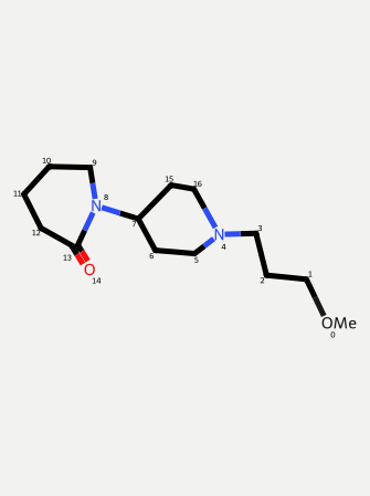 COCCCN1CCC(N2CCCCC2=O)CC1